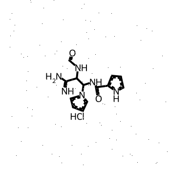 Cl.N=C(N)C(NC=O)C(NC(=O)c1ccc[nH]1)n1cccc1